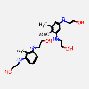 COc1c(C)cc(NCCO)cc1NCCO.Cc1c(NCCO)cccc1NCCO